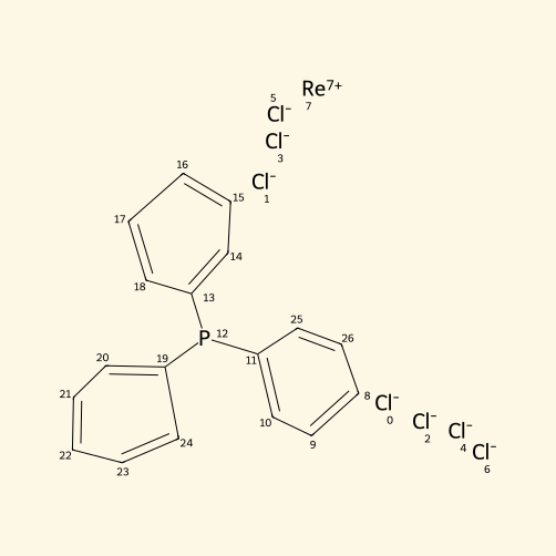 [Cl-].[Cl-].[Cl-].[Cl-].[Cl-].[Cl-].[Cl-].[Re+7].c1ccc(P(c2ccccc2)c2ccccc2)cc1